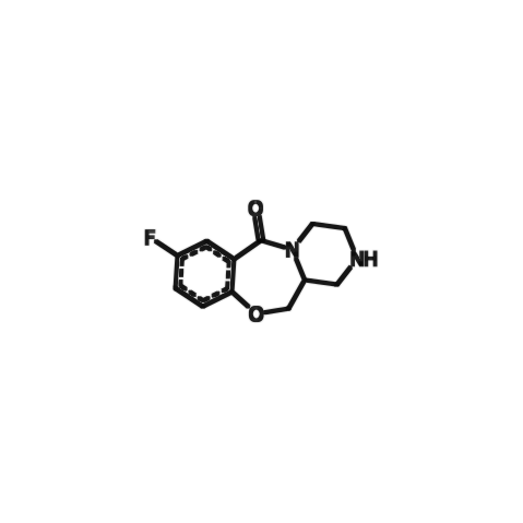 O=C1c2cc(F)ccc2OCC2CNCCN12